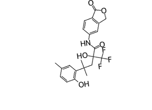 Cc1ccc(O)c(C(C)(C)CC(O)(C(=O)Nc2ccc3c(c2)COC3=O)C(F)(F)F)c1